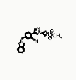 CS(=O)(=O)N1CC(n2cc(-c3ccc(CN4Cc5ccccc5C4)cc3C#N)cn2)C1